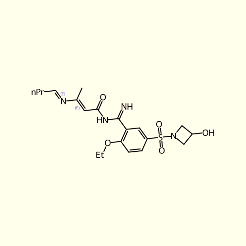 CCC/C=N/C(C)=C/C(=O)NC(=N)c1cc(S(=O)(=O)N2CC(O)C2)ccc1OCC